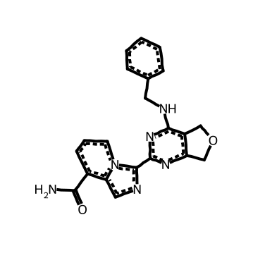 NC(=O)c1cccn2c(-c3nc4c(c(NCc5ccccc5)n3)COC4)ncc12